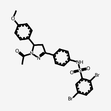 COc1ccc(C2CC(c3ccc(NS(=O)(=O)c4cc(Br)ccc4Br)cc3)=NN2C(C)=O)cc1